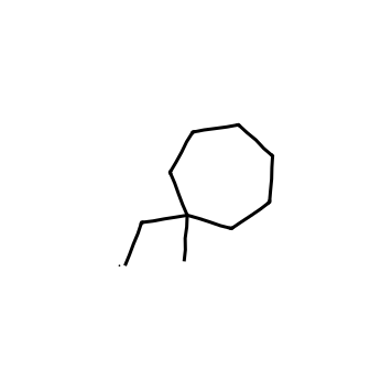 [CH2]CC1(C)CCCCCC1